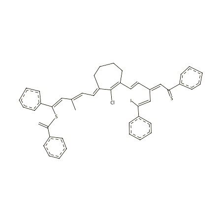 C=C(S\C(=C/C(C)=C/C=C1\CCCCC(/C=C/C(=C/C(=S)c2ccccc2)/C=C(\I)c2ccccc2)=C1Cl)c1ccccc1)c1ccccc1